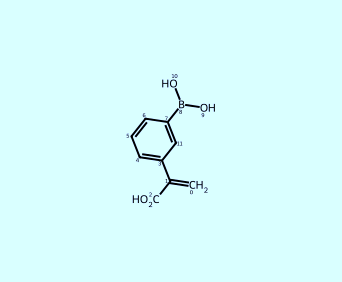 C=C(C(=O)O)c1cccc(B(O)O)c1